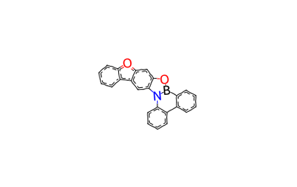 c1ccc2c(c1)B1Oc3cc4oc5ccccc5c4cc3N1c1ccccc1-2